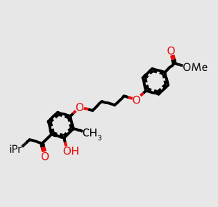 COC(=O)c1ccc(OCCCCOc2ccc(C(=O)CC(C)C)c(O)c2C)cc1